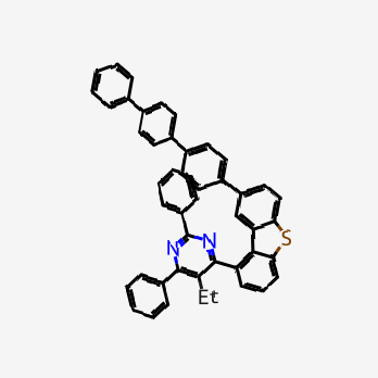 CCc1c(-c2ccccc2)nc(-c2ccccc2)nc1-c1cccc2sc3ccc(-c4ccc(-c5ccc(-c6ccccc6)cc5)cc4)cc3c12